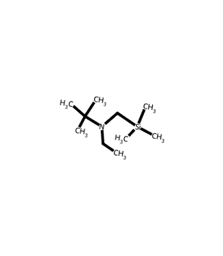 CCN(C[Si](C)(C)C)C(C)(C)C